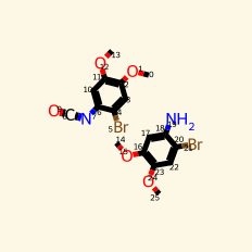 COc1cc(Br)c(N=C=O)cc1OC.COc1cc(N)c(Br)cc1OC